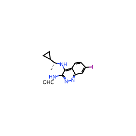 C[C@@H](Nc1c(NC=O)nnc2cc(I)ccc12)C1CC1